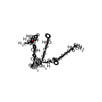 CCCC1O[C@@H]2C[C@H]3[C@@H]4C[C@H](F)C5=CC(=O)C=C[C@]5(C)[C@@]4(F)[C@@H](O)C[C@]3(C)[C@]2(C(=O)COc2ccc(NC(=O)OCc3ccc(NC(=O)[C@H](CCCNC(N)=O)NC(=O)[C@@H](NC(=O)[C@@H](CCCCNC(=O)COC4CCCCC/C(NCCOCCOCCOCCOCCC(=O)NCC[N+](C)(C)C)=C\4N=N)NC(=O)CCOCCOCCOCCOCCNC(=O)COC4C#CCCCCC4)C(C)C)cc3)cc2)O1